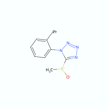 CC(C)c1ccccc1-n1nnnc1[S+](C)[O-]